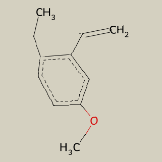 C=[C]c1cc(OC)ccc1CC